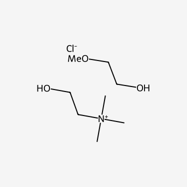 COCCO.C[N+](C)(C)CCO.[Cl-]